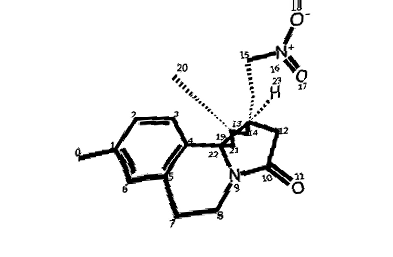 Cc1ccc2c(c1)CCN1C(=O)C[C@H]3[C@H](C[N+](=O)[O-])[C@@H](C)CC231